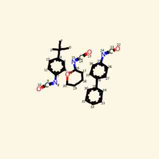 CC(C)(C)c1ccc(N=C=O)cc1.O=C=NC1CCCCO1.O=C=Nc1ccc(-c2ccccc2)cc1